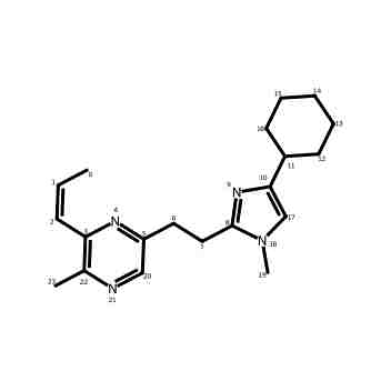 C/C=C\c1nc(CCc2nc(C3CCCCC3)cn2C)cnc1C